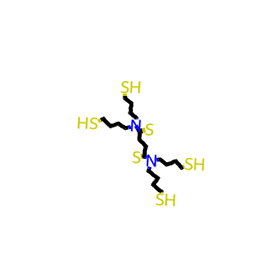 S=C(CCC(=S)N(CCCCS)CCCCS)N(CCCCS)CCCCS